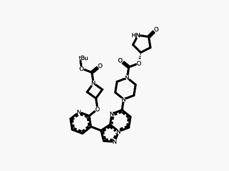 CC(C)(C)OC(=O)N1CC(Oc2ncccc2-c2cnn3ccc(N4CCN(C(=O)O[C@@H]5CNC(=O)C5)CC4)nc23)C1